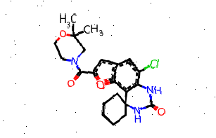 CC1(C)CN(C(=O)c2cc3cc(Cl)c4c(c3o2)C2(CCCCC2)NC(=O)N4)CCO1